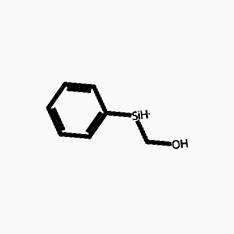 OC[SiH]c1ccccc1